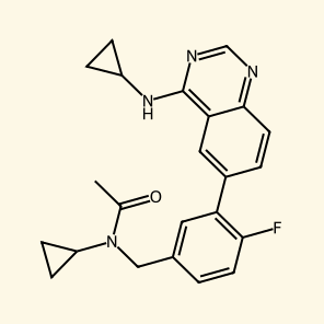 CC(=O)N(Cc1ccc(F)c(-c2ccc3ncnc(NC4CC4)c3c2)c1)C1CC1